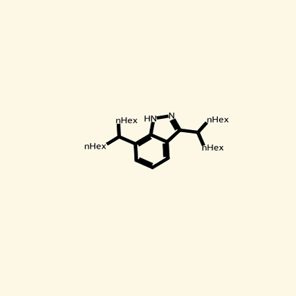 CCCCCCC(CCCCCC)c1n[nH]c2c(C(CCCCCC)CCCCCC)cccc12